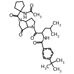 CC(=O)NC1(C(=O)N2CC(=O)C3C2CCN3C(=O)C(CC(C)C)NC(=O)c2ccc(C(C)(C)C)cc2)CCCC1